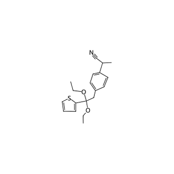 CCOC(Cc1ccc(C(C)C#N)cc1)(OCC)c1cccs1